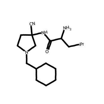 CC(C)CC(N)C(=O)NC1(C#N)CCN(CC2CCCCC2)C1